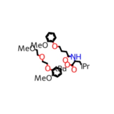 COCCOCCOc1ccccc1OC.COc1ccccc1OCCCC(=O)NC(CC(C)C)C(=O)OC(C)(C)C